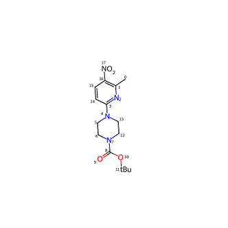 Cc1nc(N2CCN(C(=O)OC(C)(C)C)CC2)ccc1[N+](=O)[O-]